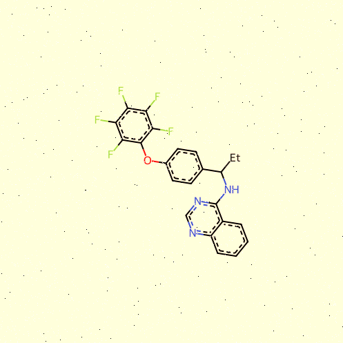 CCC(Nc1ncnc2ccccc12)c1ccc(Oc2c(F)c(F)c(F)c(F)c2F)cc1